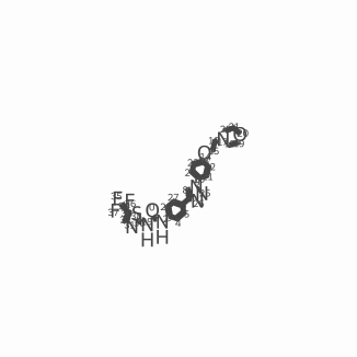 O=C(Nc1ccc(-c2cn(-c3ccc(OCCN4CCOCC4)cc3)nn2)cc1)Nc1ncc(C(F)(F)F)s1